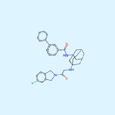 O=C(NC12CC3CC(CC(NCC(=O)N4Cc5ccc(F)cc5C4)(C3)C1)C2)c1cccc(-c2ccccc2)c1